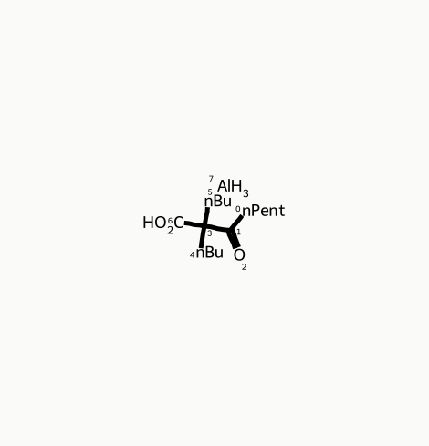 CCCCCC(=O)C(CCCC)(CCCC)C(=O)O.[AlH3]